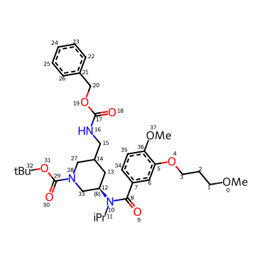 COCCCOc1cc(C(=O)N(C(C)C)[C@@H]2CC(CNC(=O)OCc3ccccc3)CN(C(=O)OC(C)(C)C)C2)ccc1OC